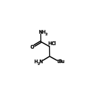 CC(C)(C)C(N)CC(N)=O.Cl